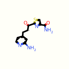 NC(=O)c1csc(C(=O)[CH]Cc2ccnc(N)c2)n1